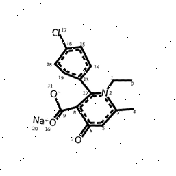 CCn1c(C)cc(=O)c(C(=O)[O-])c1-c1ccc(Cl)cc1.[Na+]